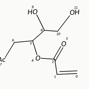 C=CC(=O)OC(CC(C)=O)C(O)CO